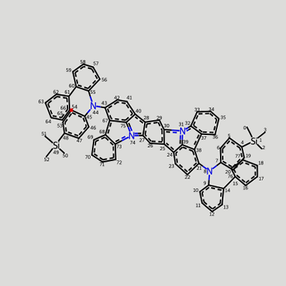 C[Si](C)(C)c1ccc(N(c2ccccc2-c2ccccc2)c2ccc3c4cc5c(cc4n4c6ccccc6c2c34)c2ccc(N(c3ccc([Si](C)(C)C)cc3)c3ccccc3-c3ccccc3)c3c4ccccc4n5c23)cc1